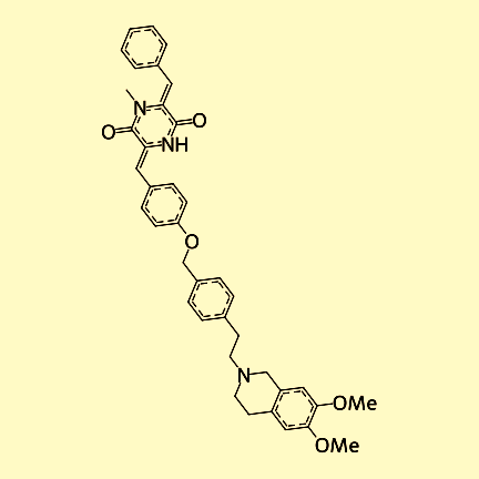 COc1cc2c(cc1OC)CN(CCc1ccc(COc3ccc(C=c4[nH]c(=O)c(=Cc5ccccc5)n(C)c4=O)cc3)cc1)CC2